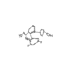 N/C(=N\O)c1cccc(-c2ccc(O)cc2)c1-c1cc(F)cc(F)c1